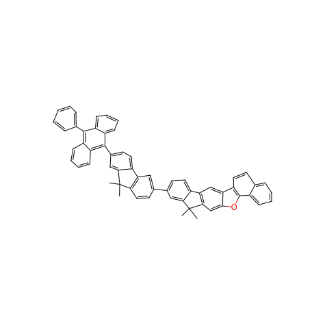 CC1(C)c2ccc(-c3ccc4c(c3)C(C)(C)c3cc5oc6c7ccccc7ccc6c5cc3-4)cc2-c2ccc(-c3c4ccccc4c(-c4ccccc4)c4ccccc34)cc21